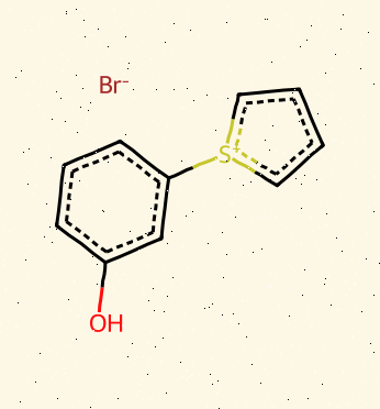 Oc1cccc(-[s+]2cccc2)c1.[Br-]